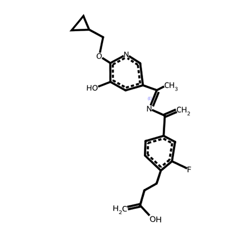 C=C(O)CCc1ccc(C(=C)/N=C(\C)c2cnc(OCC3CC3)c(O)c2)cc1F